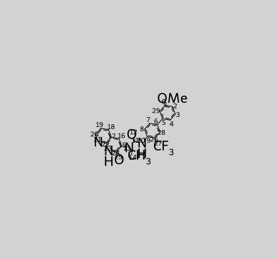 COc1cccc(-c2ccc(NC(=O)N(C)c3cc4cccnc4[nH]c3=O)c(C(F)(F)F)c2)c1